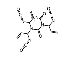 C=CC(N=C=O)N(C(N)=O)C(=O)N(C(C=C)N=C=O)C(C=C)N=C=O